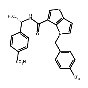 C[C@H](NC(=O)c1csc2ccn(Cc3ccc(C(F)(F)F)cc3)c12)c1ccc(C(=O)O)cc1